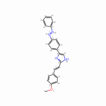 COc1ccc(/C=C/c2nc(-c3ccc(/N=N/c4ccccc4)cc3)c[nH]2)cc1